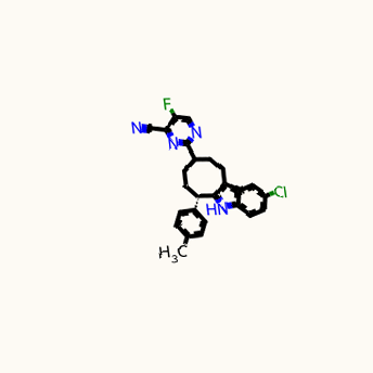 Cc1ccc([C@@H]2CCC(c3ncc(F)c(C#N)n3)CCc3c2[nH]c2ccc(Cl)cc32)cc1